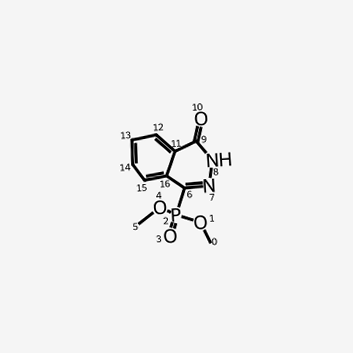 COP(=O)(OC)c1n[nH]c(=O)c2ccccc12